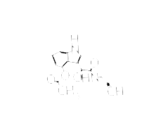 C#CCNC(=O)C(=O)c1c[nH]c2cccc(OC(C)=O)c12